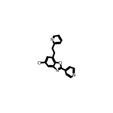 Clc1cc(CCc2ccccn2)c2oc(-c3ccncc3)nc2c1